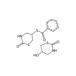 O=C1NCC(O)CS1.O=C1NCC(SC(=O)c2ccccc2)CS1